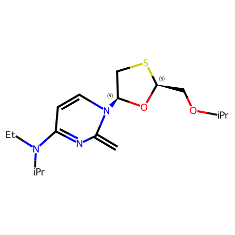 C=C1N=C(N(CC)C(C)C)C=CN1[C@H]1CS[C@@H](COC(C)C)O1